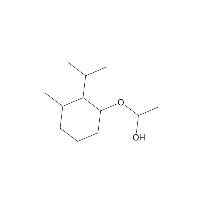 CC(O)OC1CCCC(C)C1C(C)C